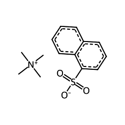 C[N+](C)(C)C.O=S(=O)([O-])c1cccc2ccccc12